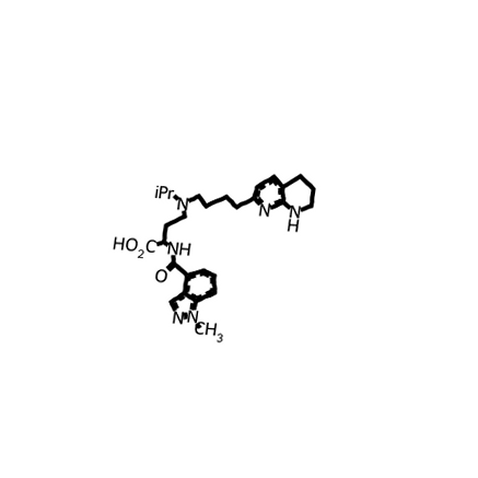 CC(C)N(CCCCc1ccc2c(n1)NCCC2)CCC(NC(=O)c1cccc2c1cnn2C)C(=O)O